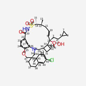 CO[C@@]1(C[C@@H](O)C2CC2)/C=C/C[C@H](C)[C@@H](C)S(=O)(=O)NC(=O)c2ccc3c(c2)N(C[C@@H]2CC[C@H]21)C[C@@]1(CCCC2=CC(Cl)=CCC21C)CO3